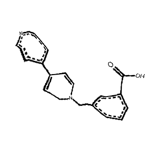 O=C(O)c1cccc(CN2C=CC(c3ccncc3)=CC2)c1